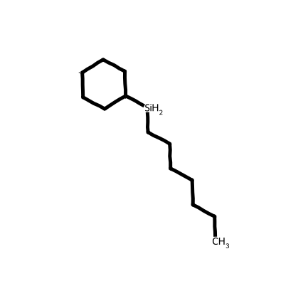 CCCCCCC[SiH2][C]1CC[CH]CC1